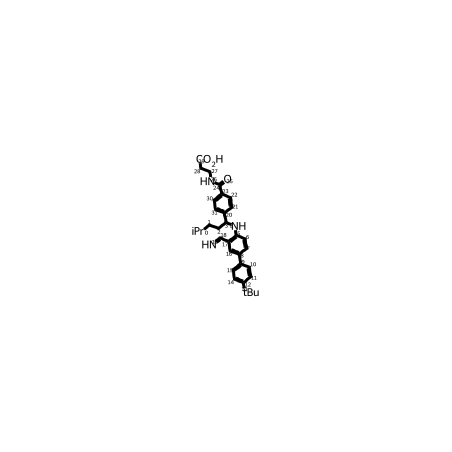 CC(C)CCC(Nc1ccc(-c2ccc(C(C)(C)C)cc2)cc1C=N)c1ccc(C(=O)NCCC(=O)O)cc1